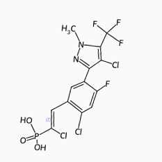 Cn1nc(-c2cc(/C=C(\Cl)P(=O)(O)O)c(Cl)cc2F)c(Cl)c1C(F)(F)F